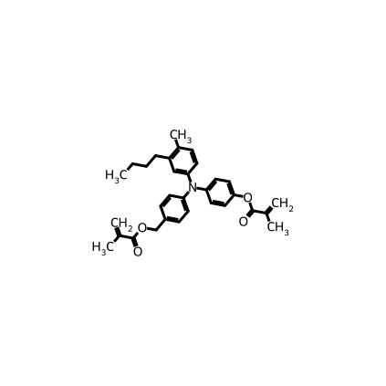 C=C(C)C(=O)OCc1ccc(N(c2ccc(OC(=O)C(=C)C)cc2)c2ccc(C)c(CCCC)c2)cc1